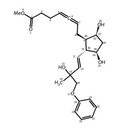 COC(=O)CCC=C=CC[C@@H]1[C@@H](C=CC(C)(O)COc2ccccc2)[C@H](O)C[C@@H]1O